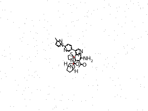 CC(=O)c1c(C2C[C@H]3CC[C@@H](C2)N3C(=O)N2CCSC2)nc2c(-c3ccc(-n4ccc(C)n4)nc3)cnn2c1N